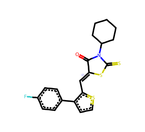 O=C1/C(=C/c2sccc2-c2ccc(F)cc2)SC(=S)N1C1CCCCC1